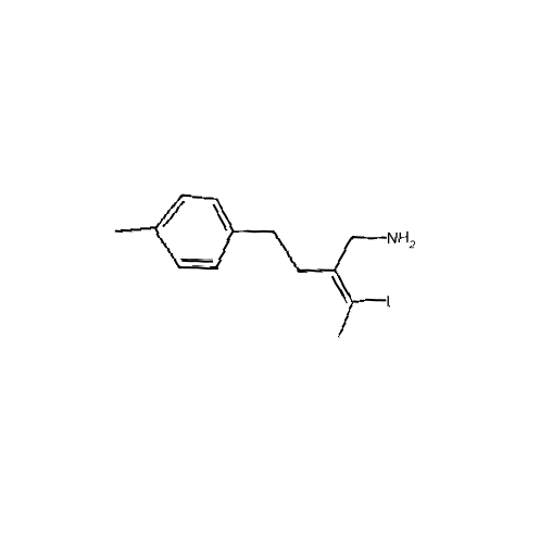 C/C(I)=C(/CN)CCc1ccc(C)cc1